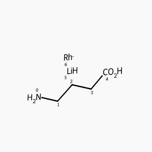 NCCCC(=O)O.[LiH].[Rh]